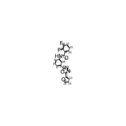 O=C(Nc1cccc(-c2nnc(-c3ccco3)o2)c1)c1cccc(F)c1F